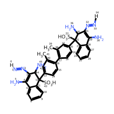 [H]/N=N/C1=C(N)c2ccccc2C(c2ccc(-c3ccc(C4(S(=O)(=O)O)c5ccccc5C(N)=C(/N=N/[H])C4N)cc3C)c(C)c2)(S(=O)(=O)O)C1N